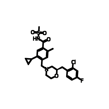 Cc1cc(CN2CCO[C@H](Cc3ccc(F)cc3Cl)C2)c(C2CC2)cc1C(=O)NS(C)(=O)=O